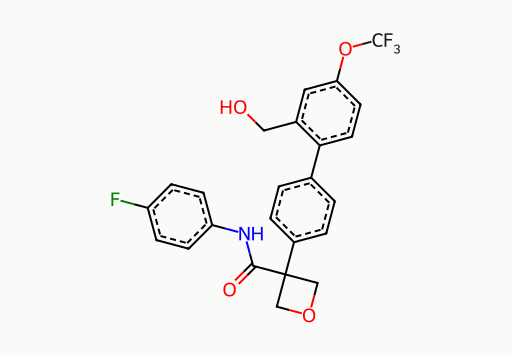 O=C(Nc1ccc(F)cc1)C1(c2ccc(-c3ccc(OC(F)(F)F)cc3CO)cc2)COC1